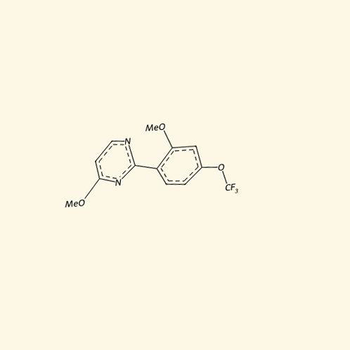 COc1ccnc(-c2ccc(OC(F)(F)F)cc2OC)n1